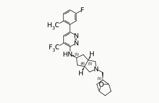 Cc1ccc(F)cc1-c1cc(C(F)(F)F)c(N[C@H]2C[C@@H]3CN(C[C@@H]4CC5CCC4O5)C[C@@H]3C2)nn1